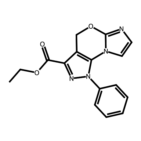 CCOC(=O)c1nn(-c2ccccc2)c2c1COc1nccn1-2